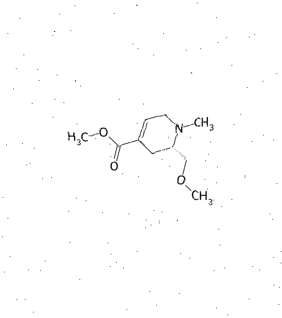 COC[C@@H]1CC(C(=O)OC)=CCN1C